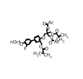 C=C(C)C(=O)OCc1cc(-c2ccc(OCCCCCCCC)c(F)c2)ccc1OCC(COC(=O)C(=C)C)(COC(=O)C(C)=O)COC(=O)C(C)=O